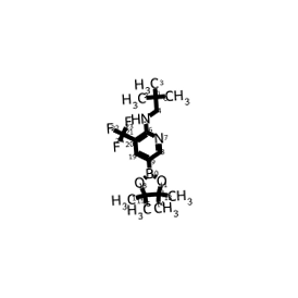 CC(C)(C)CNc1ncc(B2OC(C)(C)C(C)(C)O2)cc1C(F)(F)F